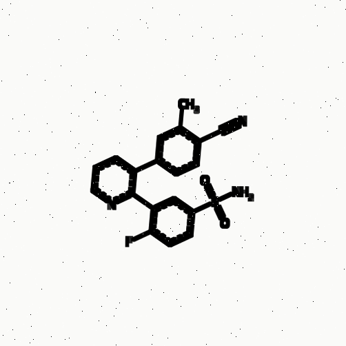 Cc1cc(-c2cccnc2-c2cc(S(N)(=O)=O)ccc2F)ccc1C#N